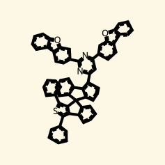 c1ccc(-c2sc(-c3ccccc3)c3c2-c2ccccc2C32c3ccccc3-c3c(-c4cc(-c5ccc6c(c5)oc5ccccc56)nc(-c5ccc6c(c5)oc5ccccc56)n4)cccc32)cc1